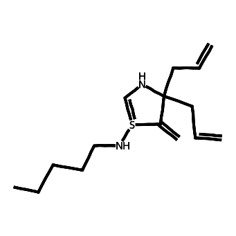 C=CCC1(CC=C)NC=S(NCCCCC)C1=C